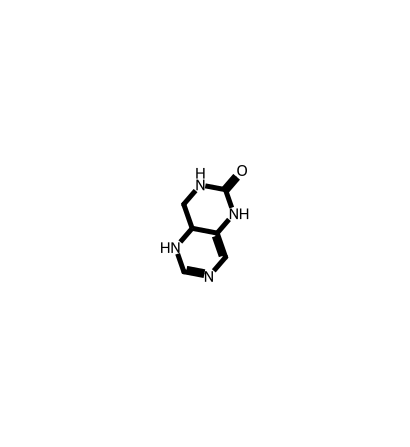 O=C1NCC2NC=NC=C2N1